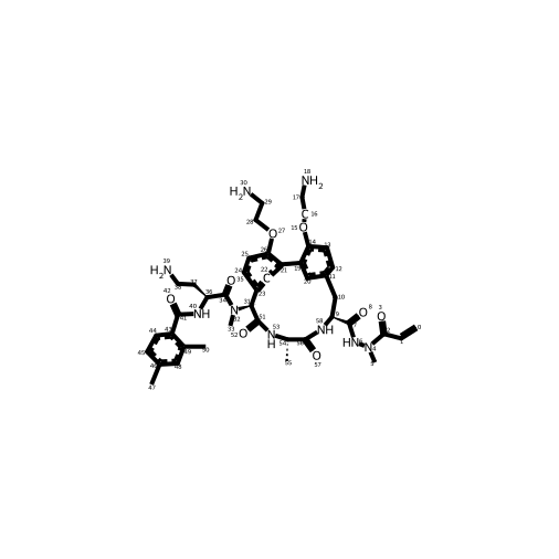 C=CC(=O)N(C)NC(=O)[C@@H]1Cc2ccc(OCCN)c(c2)-c2cc(ccc2OCCN)[C@H](N(C)C(=O)[C@H](CCN)NC(=O)c2ccc(C)cc2C)C(=O)N[C@@H](C)C(=O)N1